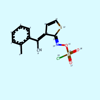 Cc1ccccc1/C(C#N)=C1\C=CS\C1=N/OS(=O)(=O)Cl